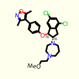 COCCN1CCCN([C@H]2Cc3c(Cl)cc(Cl)cc3[C@@H]2Oc2ccc(-c3c(C)noc3C)cc2)CC1